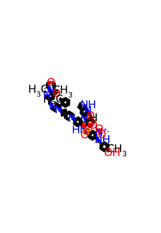 COc1cc(CN2CCN(C3CC4(CCN(c5ccc(C(=O)NS(=O)(=O)c6ccc(NC[C@H]7CC[C@](C)(O)CC7)c([N+](=O)[O-])c6)c(N6c7cc8cc[nH]c8nc7O[C@H]7COCC[C@@H]76)c5)CC4)C3)[C@H](c3ccccc3C)C2)cnc1N1CCOC[C@H]1C